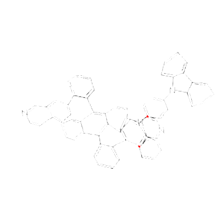 c1ccc(N(c2ccc(-n3c4ccccc4c4ccccc43)cc2)c2ccc3c(-c4ccccc4-c4ccc5ccncc5c4)c4ccccc4c(-c4ccccc4-c4ccc5ccncc5c4)c3c2)cc1